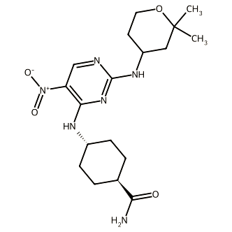 CC1(C)CC(Nc2ncc([N+](=O)[O-])c(N[C@H]3CC[C@H](C(N)=O)CC3)n2)CCO1